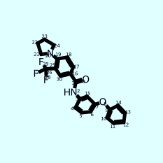 O=C(Nc1cccc(Oc2ccccc2)c1)c1ccc(N2CCCC2)c(C(F)(F)F)c1